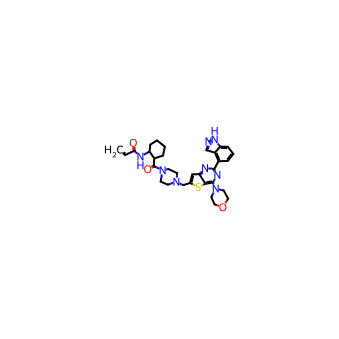 C=CC(=O)NC1CCCCC1C(=O)N1CCN(Cc2cc3nc(-c4cccc5[nH]ncc45)nc(N4CCOCC4)c3s2)CC1